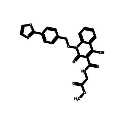 COC(=O)CNC(=O)c1c(O)c2ccccc2n(OCc2ccc(-c3ncco3)cc2)c1=O